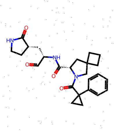 O=C[C@H](C[C@@H]1CCNC1=O)NC(=O)[C@@H]1CC2(CCC2)CN1C(=O)C1(c2ccccc2)CC1